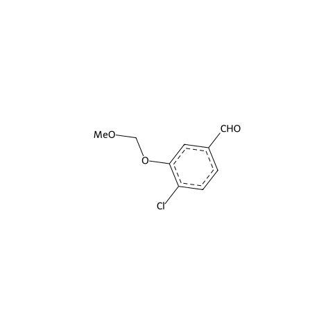 COCOc1cc(C=O)ccc1Cl